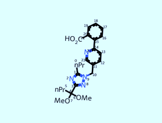 CCCc1nc(C(CCC)(OC)OC)nn1Cc1ccc(-c2ccccc2C(=O)O)nc1